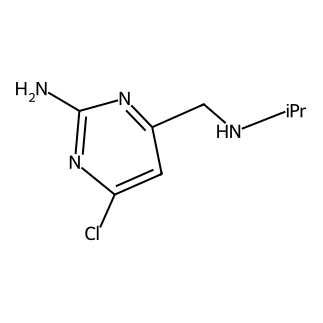 CC(C)NCc1cc(Cl)nc(N)n1